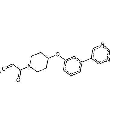 C=CC(=O)N1CCC(Oc2cccc(-c3cncnc3)c2)CC1